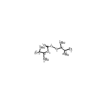 CCCCC(CC)C(CCCC)OOC(=O)OC(CCCC)C(CC)CCCC